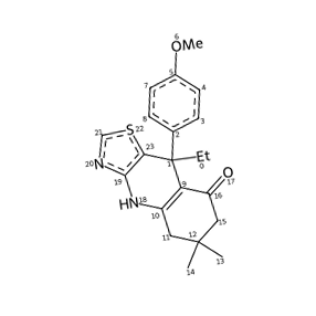 CCC1(c2ccc(OC)cc2)C2=C(CC(C)(C)CC2=O)Nc2ncsc21